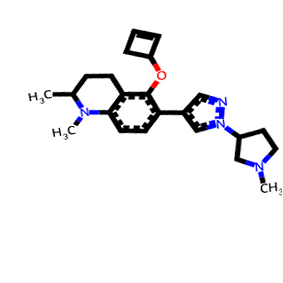 CC1CCc2c(ccc(-c3cnn(C4CCN(C)C4)c3)c2OC2C=CC2)N1C